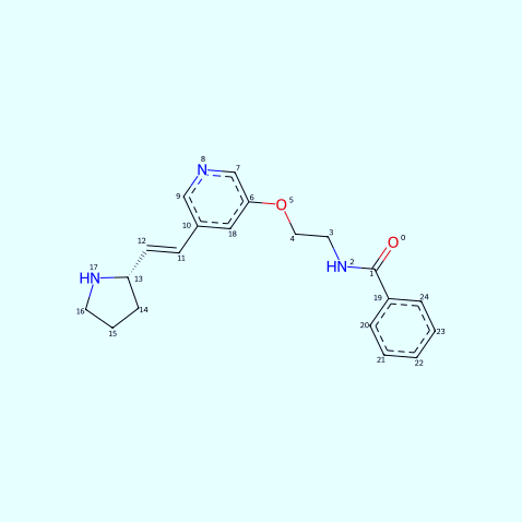 O=C(NCCOc1cncc(C=C[C@@H]2CCCN2)c1)c1ccccc1